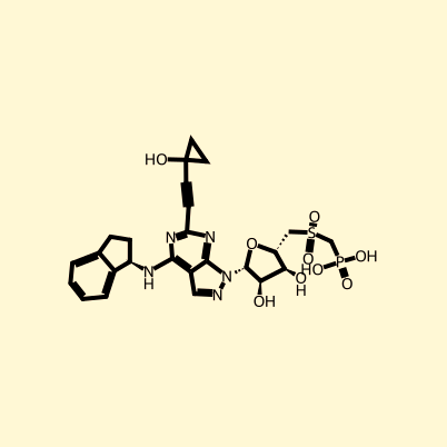 O=P(O)(O)CS(=O)(=O)C[C@H]1O[C@@H](n2ncc3c(N[C@@H]4CCc5ccccc54)nc(C#CC4(O)CC4)nc32)[C@H](O)[C@@H]1O